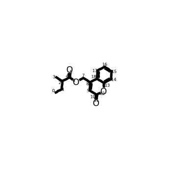 CCC(C)C(=O)OCc1cc(=O)oc2ccccc12